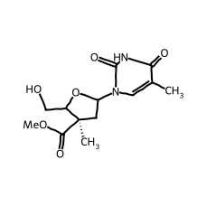 COC(=O)[C@]1(C)CC(n2cc(C)c(=O)[nH]c2=O)OC1CO